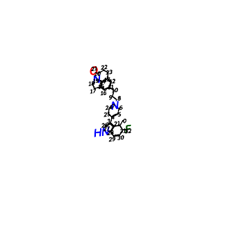 CC1c2c(C3=CCN(CCCc4cc5c6c(c4)CCN6C(=O)CC5)CC3)c[nH]c2C=CC1F